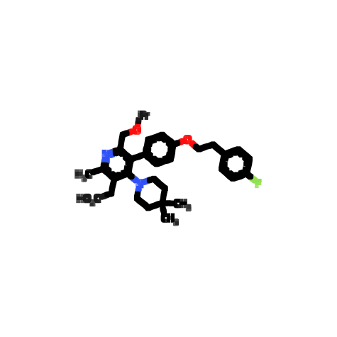 Cc1nc(COC(C)C)c(-c2ccc(OCCc3ccc(F)cc3)cc2)c(N2CCC(C)(C)CC2)c1CC(=O)O